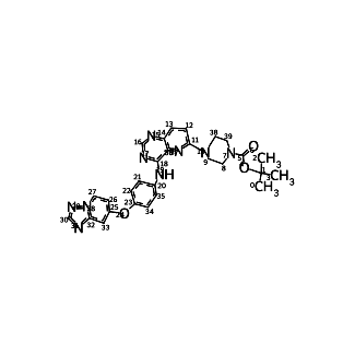 CC(C)(C)OC(=O)N1CCN(c2ccc3ncnc(Nc4ccc(Oc5ccn6ncnc6c5)cc4)c3n2)CC1